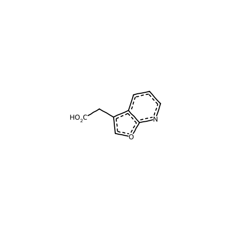 O=C(O)Cc1coc2ncccc12